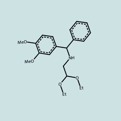 CCOC(CNC(c1ccccc1)c1ccc(OC)c(OC)c1)OCC